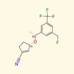 C[C@@H](O[C@@H]1C=C(C#N)CC1)c1cc(CF)cc(C(F)(F)F)c1